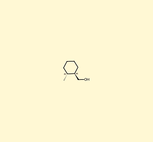 C[C@@H]1CCCC[C@H]1CO